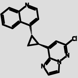 Clc1cc([C@H]2C[C@@H]2c2ccnc3ccccc23)c2nccn2n1